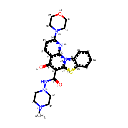 CN1CCN(NC(=O)c2c(=O)c3ccc(N4CCOCC4)nc3n3c2sc2ccccc23)CC1